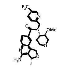 CO[C@H]1COCC[C@@H]1N(Cc1ccc(C(F)(F)F)cn1)C(=O)c1ccc2nc(N)c3c(c2c1)CO[C@@H]3C